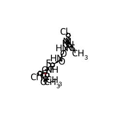 CCCSc1nc(NCCOCCNC(=O)C#Cc2cc(F)c(CNC(=O)c3ccc4c(c3)N(Cc3c(F)cccc3Cl)C(=O)C4(C)C)c(F)c2)c2nnn(Cc3ccc(Cl)cc3)c2n1